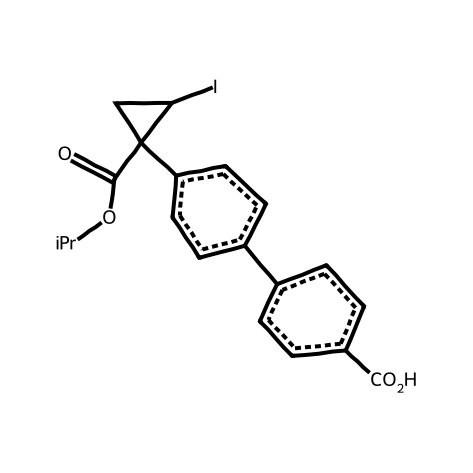 CC(C)OC(=O)C1(c2ccc(-c3ccc(C(=O)O)cc3)cc2)CC1I